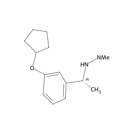 CNN[C@H](C)c1cccc(OC2CCCC2)c1